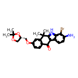 CC1(C)OC[C@@H](COc2ccc3c(c2)C(C)(C)c2[nH]c4c(Br)c(N)ccc4c2C3=O)O1